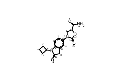 NC(=O)C1CN(c2ccc3c(c2)CC(=O)N3C2CCC2)C(=O)O1